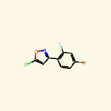 Fc1cc(Br)ccc1-c1cc(Cl)on1